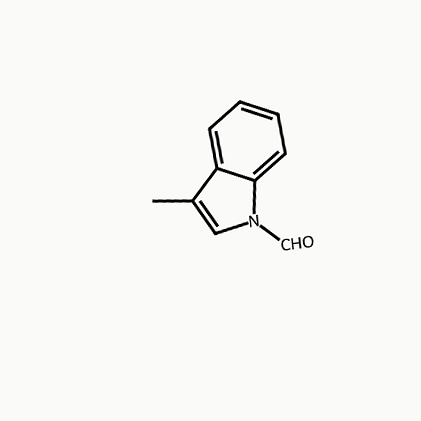 Cc1cn(C=O)c2ccccc12